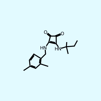 CCC(C)(C)Nc1c(NCc2ccc(C)cc2C)c(=O)c1=O